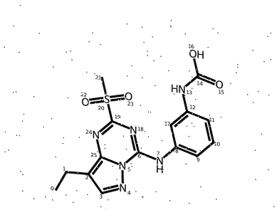 CCc1cnn2c(Nc3cccc(NC(=O)O)c3)nc(S(C)(=O)=O)nc12